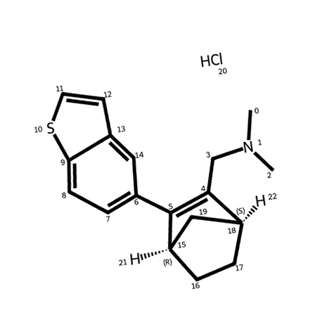 CN(C)CC1=C(c2ccc3sccc3c2)[C@@H]2CC[C@H]1C2.Cl